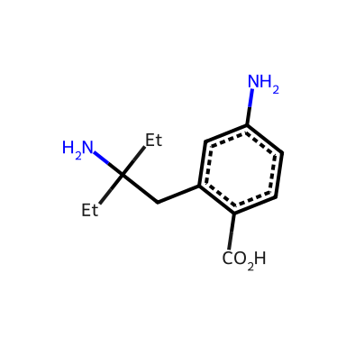 CCC(N)(CC)Cc1cc(N)ccc1C(=O)O